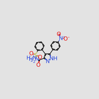 NC(=O)c1n[nH]c(-c2ccc([N+](=O)[O-])cc2)c1-c1ccccc1S(N)(=O)=O